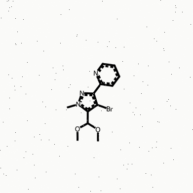 COC(OC)c1c(Br)c(-c2ccccn2)nn1C